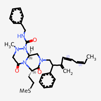 C=C(/C=C\C=C/C)C(CN1C[C@H]2N(C(=O)CN(C)N2C(=O)NCc2ccccc2)[C@@H](CCSC)C1=O)c1ccccc1